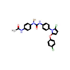 CC(=O)Nc1ccc(N(S)C(=O)Nc2ccc(-n3c(Cl)ccc3Oc3ccc(Cl)cc3)cc2)cc1